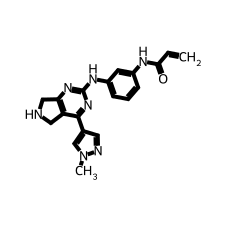 C=CC(=O)Nc1cccc(Nc2nc3c(c(-c4cnn(C)c4)n2)CNC3)c1